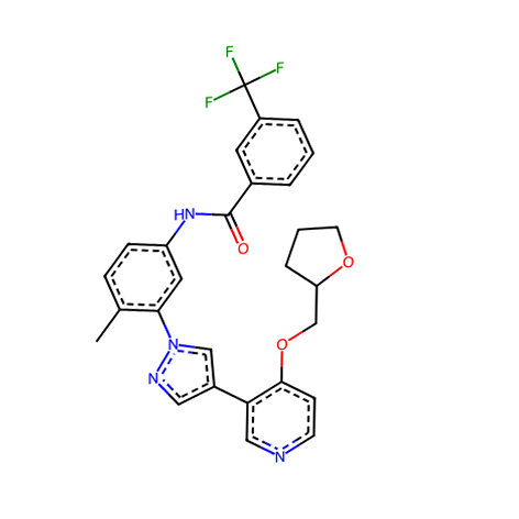 Cc1ccc(NC(=O)c2cccc(C(F)(F)F)c2)cc1-n1cc(-c2cnccc2OCC2CCCO2)cn1